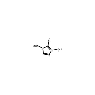 CCCCCCCCCn1cc[n+](CCCCCCCC)c1CC